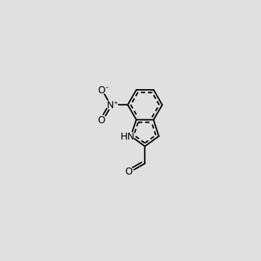 O=Cc1cc2cccc([N+](=O)[O-])c2[nH]1